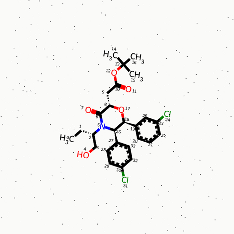 CC[C@@H](CO)N1C(=O)[C@H](CC(=O)OC(C)(C)C)O[C@@H](c2cccc(Cl)c2)[C@H]1c1ccc(Cl)cc1